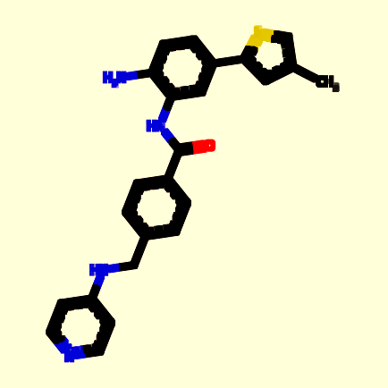 Cc1csc(-c2ccc(N)c(NC(=O)c3ccc(CNc4ccncc4)cc3)c2)c1